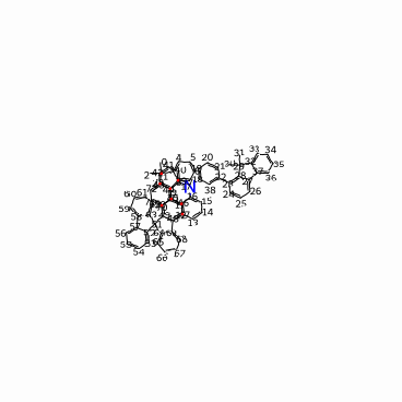 CC1(C)c2ccccc2-c2c(-c3ccccc3N(c3cccc(-c4cccc5c4C(C)(C)c4ccccc4-5)c3)c3ccccc3-c3ccc4c(c3)C3(c5ccccc5-c5ccccc53)c3ccccc3-4)cccc21